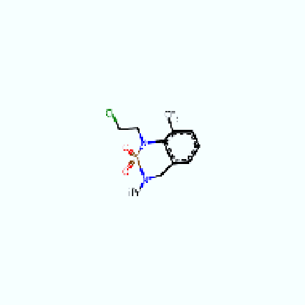 CC(C)N1Cc2cccc(C(F)(F)F)c2N(CCCl)S1(=O)=O